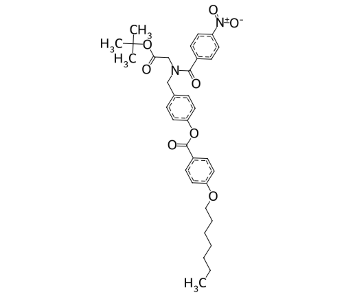 CCCCCCCOc1ccc(C(=O)Oc2ccc(CN(CC(=O)OC(C)(C)C)C(=O)c3ccc([N+](=O)[O-])cc3)cc2)cc1